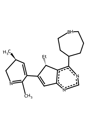 CC[C@H]1C(C2=C[C@H](C)CN=C2C)=Cc2ncnc(C3CCBCCC3)c21